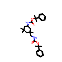 CC1(C)CC(NC(=O)OC(C)(C)c2ccccc2)CC(C)(CNC(=O)OC(C)(C)c2ccccc2)C1